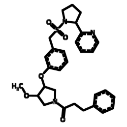 COC1CN(C(=O)CCc2ccccc2)CC1Oc1cccc(CS(=O)(=O)N2CCCC2c2ccccn2)c1